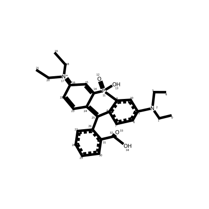 CCN(CC)c1ccc2c(c1)P(=O)(O)C1=CC(=[N+](CC)CC)C=CC1=C2c1ccccc1C(=O)O